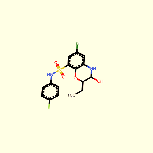 CCC1Oc2c(cc(Cl)cc2S(=O)(=O)Nc2ccc(F)cc2)NC1O